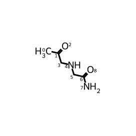 CC(=O)CNCC(N)=O